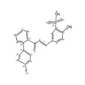 O=C(/C=C/c1ccc(O)c(S(=O)(=O)O)c1)c1ccccc1-c1ccc(F)cc1